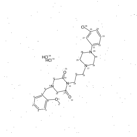 COc1ccccc1CN1CC(=O)N(CCCN2CCN(c3cccc(Cl)c3)CC2)C(=O)C1.Cl.Cl